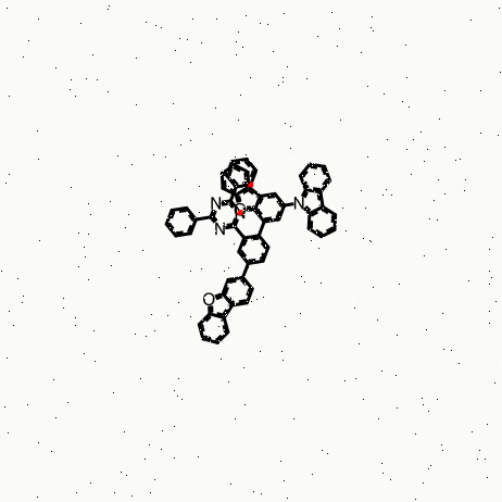 c1ccc(-c2nc(-c3ccccc3)nc(-c3cc(-c4ccc5c(c4)oc4ccccc45)ccc3-c3cc(-n4c5ccccc5c5ccccc54)cc4c3oc3ccccc34)n2)cc1